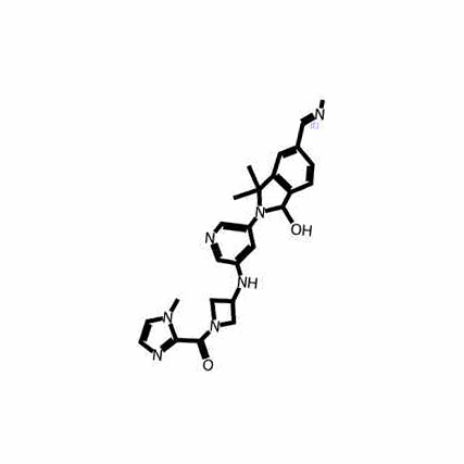 C/N=C/c1ccc2c(c1)C(C)(C)N(c1cncc(NC3CN(C(=O)c4nccn4C)C3)c1)C2O